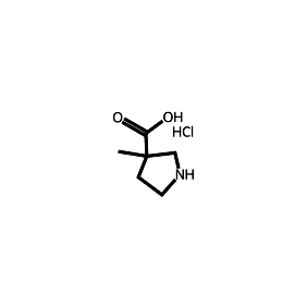 CC1(C(=O)O)CCNC1.Cl